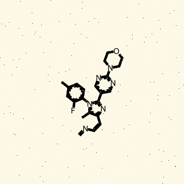 C=N/C=C\c1nc(-c2cnc(N3CCOCC3)nc2)n(-c2ccc(C)cc2F)c1C